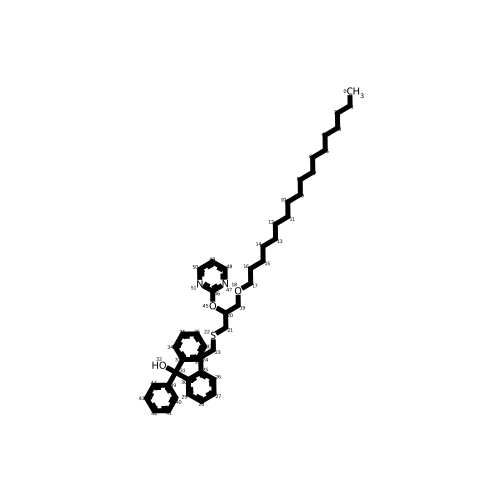 CCCCCCCCCCCCCCCCCCOCC(CSCCc1ccccc1C(O)(c1ccccc1)c1ccccc1)Oc1ncccn1